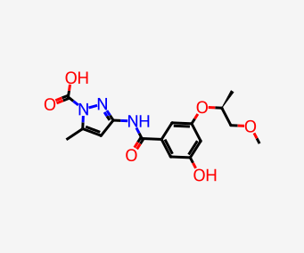 COC[C@H](C)Oc1cc(O)cc(C(=O)Nc2cc(C)n(C(=O)O)n2)c1